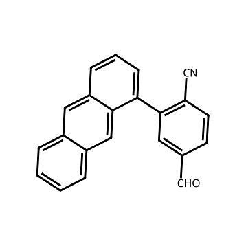 N#Cc1ccc(C=O)cc1-c1cccc2cc3ccccc3cc12